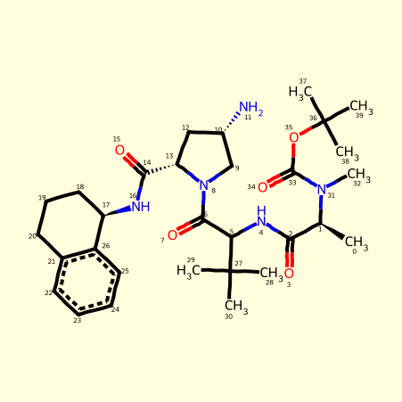 C[C@@H](C(=O)NC(C(=O)N1C[C@@H](N)C[C@H]1C(=O)N[C@@H]1CCCc2ccccc21)C(C)(C)C)N(C)C(=O)OC(C)(C)C